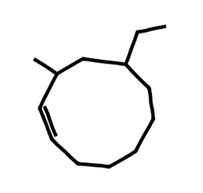 CCC1CCCCC/C=C\C(C)C1